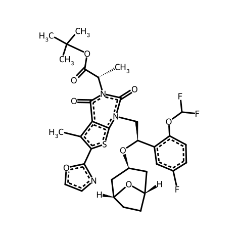 Cc1c(-c2ncco2)sc2c1c(=O)n([C@@H](C)C(=O)OC(C)(C)C)c(=O)n2C[C@H](O[C@@H]1C[C@H]2CC[C@@H](C1)O2)c1cc(F)ccc1OC(F)F